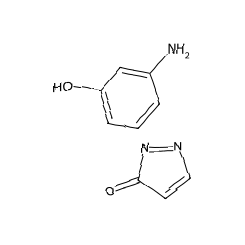 Nc1cccc(O)c1.O=C1C=CN=N1